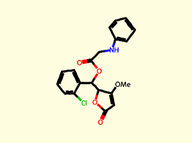 COC1=CC(=O)OC1C(OC(=O)CNc1ccccc1)c1ccccc1Cl